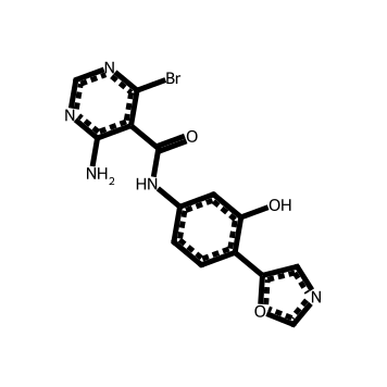 Nc1ncnc(Br)c1C(=O)Nc1ccc(-c2cnco2)c(O)c1